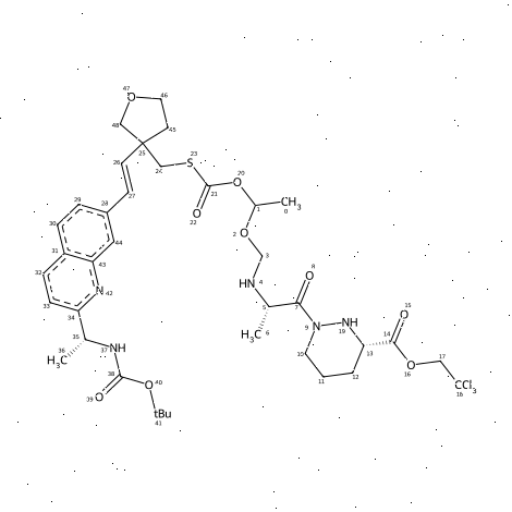 CC(OCN[C@@H](C)C(=O)N1CCC[C@@H](C(=O)OCC(Cl)(Cl)Cl)N1)OC(=O)SCC1(/C=C/c2ccc3ccc([C@@H](C)NC(=O)OC(C)(C)C)nc3c2)CCOC1